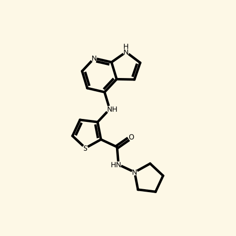 O=C(NN1CCCC1)c1sccc1Nc1ccnc2[nH]ccc12